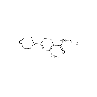 Cc1cc(N2CCOCC2)ccc1C(=O)NN